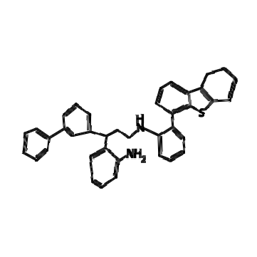 Nc1ccccc1C(CCNc1ccccc1-c1cccc2c3c(sc12)C=CCC3)c1cccc(-c2ccccc2)c1